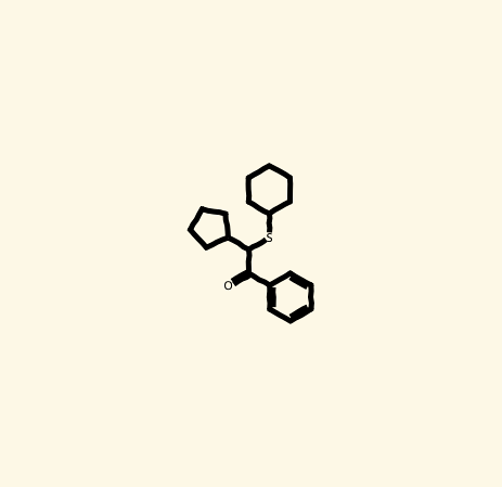 O=C(c1ccccc1)C(SC1CCCCC1)C1CCCC1